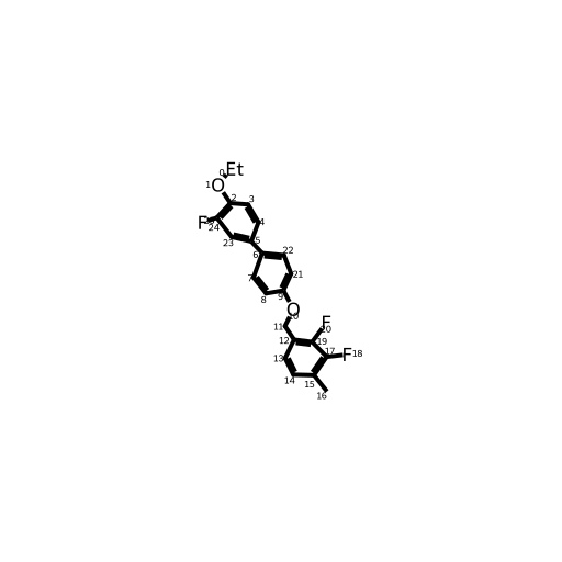 CCOc1ccc(-c2ccc(OCc3ccc(C)c(F)c3F)cc2)cc1F